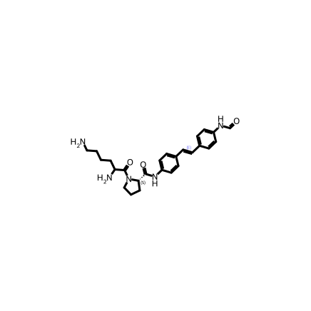 NCCCCC(N)C(=O)N1CCC[C@H]1C(=O)Nc1ccc(/C=C/c2ccc(NC=O)cc2)cc1